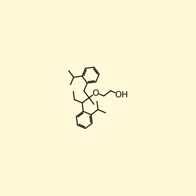 CCC(c1ccccc1C(C)C)C(C)(Cc1ccccc1C(C)C)OCCO